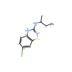 CCC(C)CC(C)NC1=NSc2cc(Cl)ccc2N1